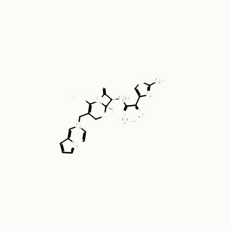 CO/N=C(\C(=O)N[C@@H]1C(=O)N2C(C(=O)[O-])=C(Cn3cc[n+]4cccc-4c3)CS[C@@H]12)c1csc(N)n1